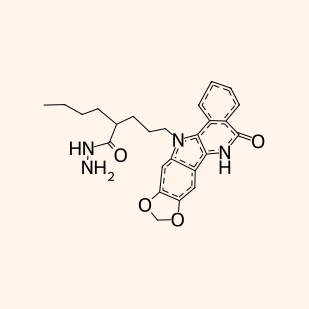 CCCCC(CCCn1c2cc3c(cc2c2[nH]c(=O)c4ccccc4c21)OCO3)C(=O)NN